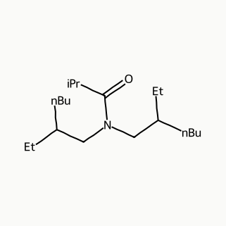 CCCCC(CC)CN(CC(CC)CCCC)C(=O)C(C)C